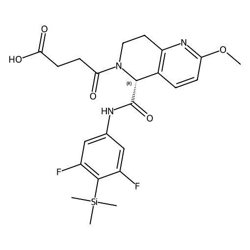 COc1ccc2c(n1)CCN(C(=O)CCC(=O)O)[C@H]2C(=O)Nc1cc(F)c([Si](C)(C)C)c(F)c1